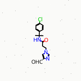 CC(C)(NC(=O)CCn1cnc(C=O)c1)c1ccc(Cl)cc1